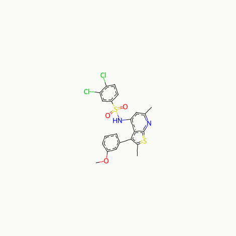 COc1cccc(-c2c(C)sc3nc(C)cc(NS(=O)(=O)c4ccc(Cl)c(Cl)c4)c23)c1